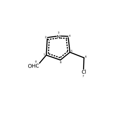 O=Cc1cncc(CCl)c1